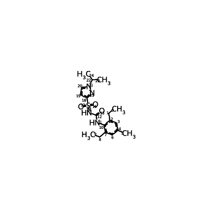 CCc1cc(C)cc(CC)c1NC(=O)NS(=O)(=O)c1ccn(C(C)C)n1